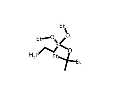 CCO[Si](CCP)(OCC)OC(C)(CC)CC